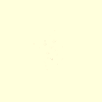 CCO[Si](OCC)(OCC)O[Si](CC)(CC)CC